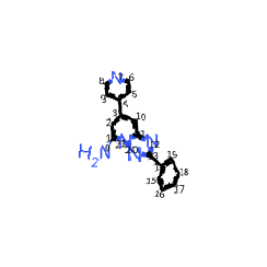 Nc1cc(-c2ccncc2)cc2nc(-c3ccccc3)nn12